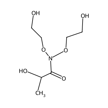 CC(O)C(=O)N(OCCO)OCCO